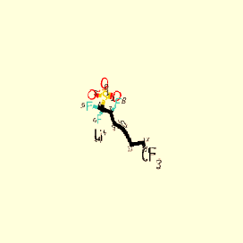 O=S(=O)([O-])C(F)(F)C(F)CCCCC(F)(F)F.[Li+]